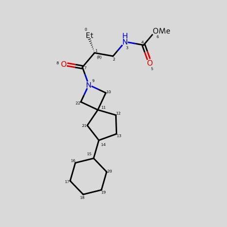 CC[C@H](CNC(=O)OC)C(=O)N1CC2(CCC(C3CCCCC3)C2)C1